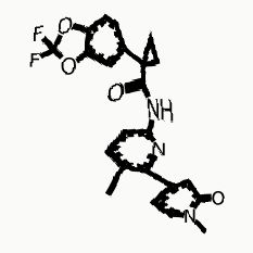 Cc1ccc(NC(=O)C2(c3ccc4c(c3)OC(F)(F)O4)CC2)nc1-c1ccn(C)c(=O)c1